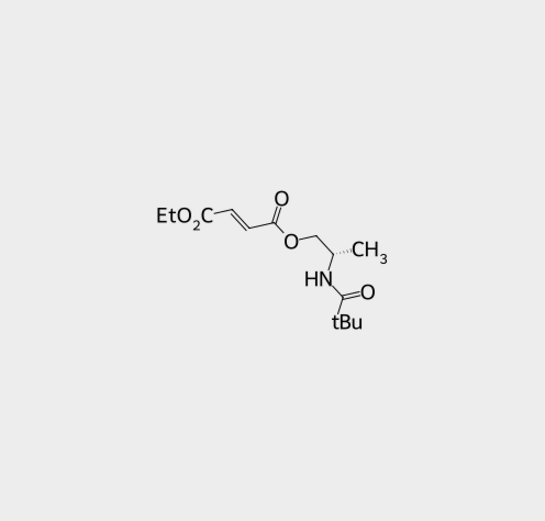 CCOC(=O)/C=C/C(=O)OC[C@H](C)NC(=O)C(C)(C)C